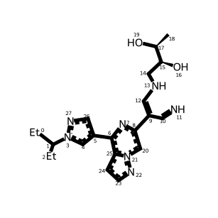 CCC(CC)n1cc(-c2nc(/C(C=N)=C/NC[C@H](O)[C@H](C)O)cn3nccc23)cn1